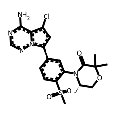 C[C@H]1COC(C)(C)C(=O)N1c1cc(-c2cc(Cl)c3c(N)ncnn23)ccc1S(C)(=O)=O